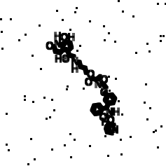 O=C(NC(c1ccccc1)c1cccc(OCc2nc(C(=O)OCCCCNC[C@H](O)c3ccc(O)c4[nH]c(=O)ccc34)co2)c1)O[C@H]1CN2CCC1CC2